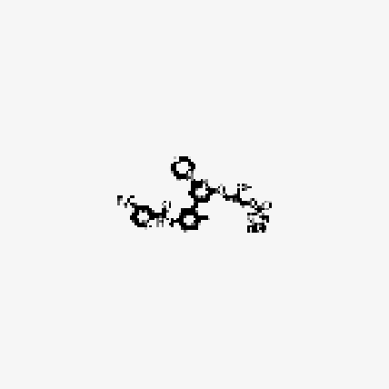 Cc1ccc(NC(=O)c2cc(C(F)(F)F)ccn2)cc1-c1cc(OC[C@@H](O)COP(=O)(OC(C)(C)C)OC(C)(C)C)nc(N2CCOCC2)c1